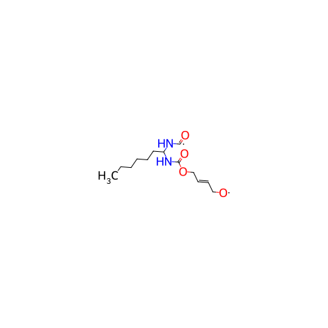 CCCCCCC(N[C]=O)NC(=O)OCC=CC[O]